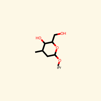 CC(C)OC1CC(C)C(O)C(CO)O1